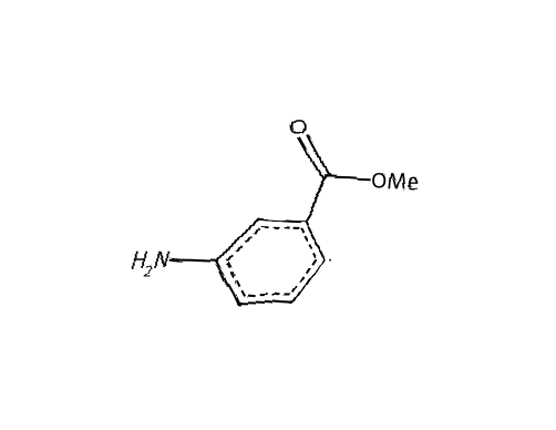 COC(=O)c1[c]ccc(N)c1